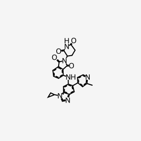 Cc1cc(-c2cc3ncn(C4CC4)c3cc2Nc2cccc3c2C(=O)N(C2CCC(=O)NC2=O)C3=O)ccn1